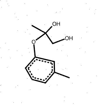 Cc1cccc(OC(C)(O)CO)c1